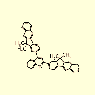 CC1(C)c2cc(-c3cc(-c4ccc5c(c4)C(C)(C)c4cc6ccccc6cc4-5)c4ccccc4n3)ccc2-c2cc3ccccc3cc21